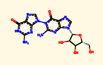 Nc1nc2c(ncn2-n2c(N)nc3c(ncn3[C@@H]3O[C@H](CO)C(O)C3O)c2=O)c(=O)[nH]1